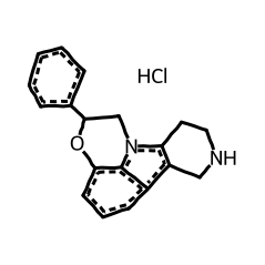 Cl.c1ccc(C2Cn3c4c(c5cccc(c53)O2)CNCC4)cc1